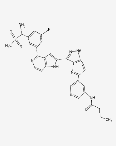 CCCC(=O)Nc1cncc(-c2ccc3[nH]nc(-c4cc5c(-c6cc(F)cc(C(N)S(C)(=O)=O)c6)nccc5[nH]4)c3n2)c1